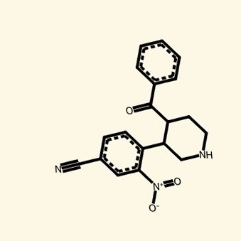 N#Cc1ccc(C2CNCCC2C(=O)c2ccccc2)c([N+](=O)[O-])c1